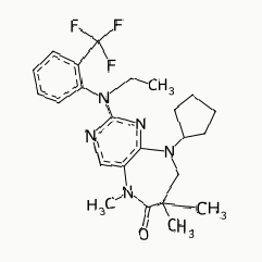 CCN(c1ncc2c(n1)N(C1CCCC1)CC(C)(C)C(=O)N2C)c1ccccc1C(F)(F)F